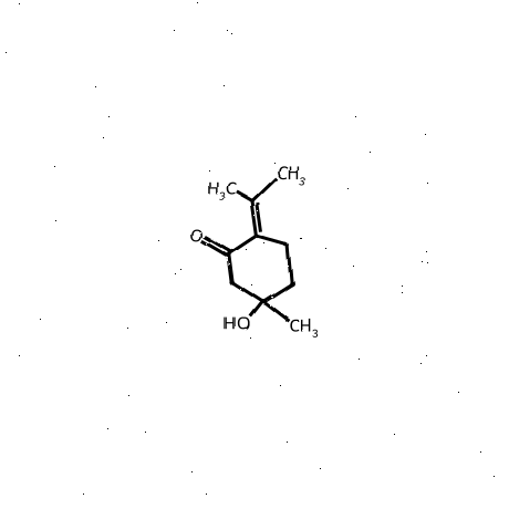 CC(C)=C1CCC(C)(O)CC1=O